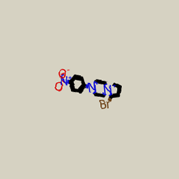 O=[N+]([O-])c1ccc(N2CC[N+]3(CCCC3Br)CC2)cc1